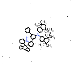 CC1(C)CCC(C)(C)c2cc(N(c3cc(-c4ccccc4)cc(-c4cccc5c4Nc4ccccc4C54c5ccccc5-c5ccccc54)c3)c3ccc4c(c3)C(C)(C)CCC4(C)C)ccc21